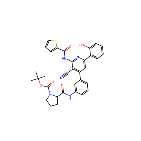 CC(C)(C)OC(=O)N1CCCC1C(=O)Nc1cccc(-c2cc(-c3ccccc3O)nc(NC(=O)c3cccs3)c2C#N)c1